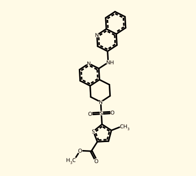 COC(=O)c1cc(C)c(S(=O)(=O)N2CCc3c(ccnc3Nc3cnc4ccccc4c3)C2)s1